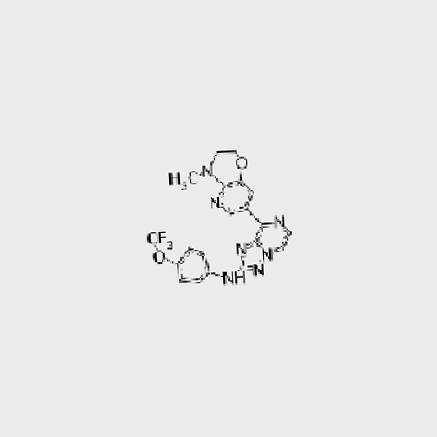 CN1CCOc2cc(-c3nccn4nc(Nc5ccc(OC(F)(F)F)cc5)nc34)cnc21